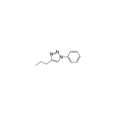 CCCc1cn(-c2ccccc2)nn1